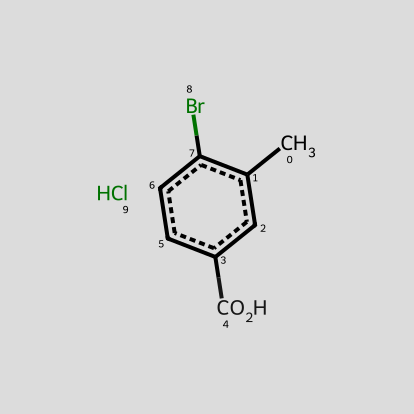 Cc1cc(C(=O)O)ccc1Br.Cl